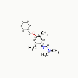 Cc1cc(OCC2CCCCC2)c(C)cc1N=CN(C)C